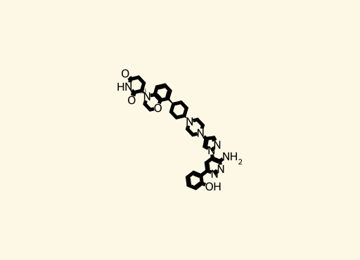 Nc1nnc(-c2ccccc2O)cc1-n1cc(N2CCN([C@H]3CC[C@H](c4cccc5c4OCCN5[C@@H]4CCC(=O)NC4=O)CC3)CC2)cn1